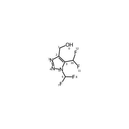 OCc1nnn(C(F)F)c1C(F)F